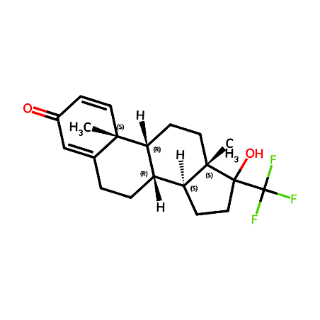 C[C@]12C=CC(=O)C=C1CC[C@@H]1[C@H]2CC[C@@]2(C)[C@H]1CCC2(O)C(F)(F)F